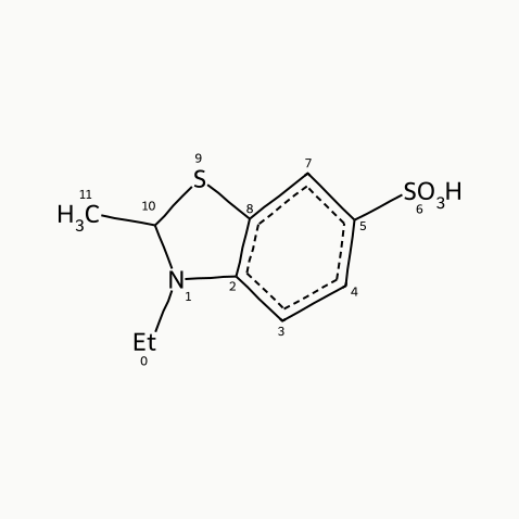 CCN1c2ccc(S(=O)(=O)O)cc2SC1C